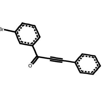 O=C(C#Cc1ccccc1)c1cccc(Br)c1